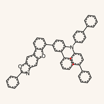 c1ccc(-c2ccc(N(c3ccc(-c4ccccc4)cc3)c3ccc(-c4cccc5c4oc4cc6nc(-c7ccccc7)oc6cc45)cc3-c3ccccc3)cc2)cc1